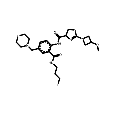 COC1CN(C2=NC(C(=O)Nc3ccc(CN4CCOCC4)cc3C(=O)NCCCF)CS2)C1